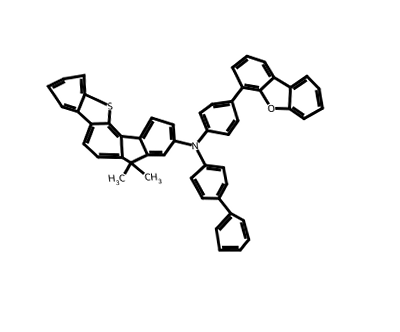 CC1(C)c2cc(N(c3ccc(-c4ccccc4)cc3)c3ccc(-c4cccc5c4oc4ccccc45)cc3)ccc2-c2c1ccc1c2sc2ccccc21